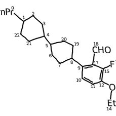 CCCC1CCC(C2CCC(c3ccc(OCC)c(F)c3C=O)CC2)CC1